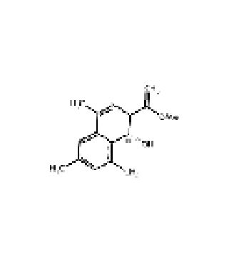 C=C(OC)C1N=C(C)c2cc(C)cc(C)c2[C@H]1O